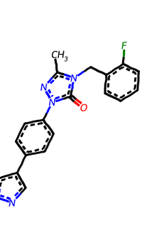 Cc1nn(-c2ccc(-c3cn[nH]c3)cc2)c(=O)n1Cc1ccccc1F